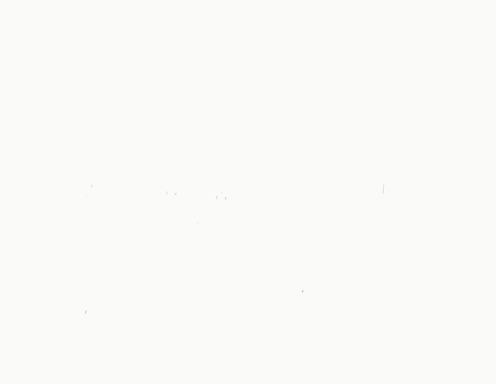 C=CCc1cc(-c2cccc(CC=C)c2OS(=O)(=O)c2ccc(C)cc2)ccc1O